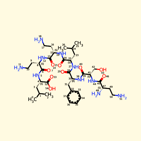 CC(C)C[C@H](NC(=O)[C@H](CCN)NC(=O)[C@H](CCN)NC(=O)[C@H](CC(C)C)NC(=O)[C@@H](Cc1ccccc1)NC(=O)[C@H](CO)NC(=O)[C@@H](N)CCN)C(=O)O